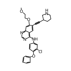 COCCOc1cc2ncnc(Nc3ccc(Oc4ccccc4)c(Cl)c3)c2cc1C#CC1CCCNC1